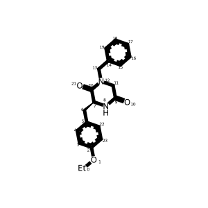 CCOc1ccc(C[C@@H]2NC(=O)CN(Cc3ccccc3)C2=O)cc1